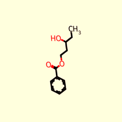 CCC(O)CCOC(=O)c1ccccc1